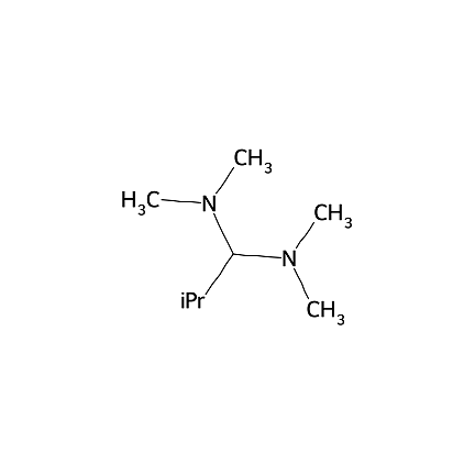 CC(C)C(N(C)C)N(C)C